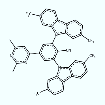 Cc1cc(-c2cc(-n3c4cc(C(F)(F)F)ccc4c4ccc(C(F)(F)F)cc43)c(C#N)c(-n3c4cc(C(F)(F)F)ccc4c4ccc(C(F)(F)F)cc43)c2)nc(C)n1